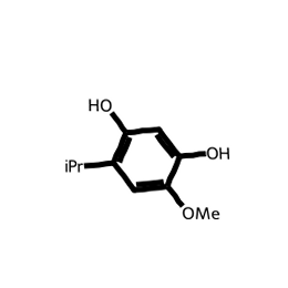 COc1cc(C(C)C)c(O)cc1O